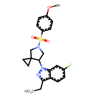 CC(C)Oc1ccc(S(=O)(=O)N2CC(n3nc(CC(=O)O)c4ccc(F)cc43)C3(CC3)C2)cc1